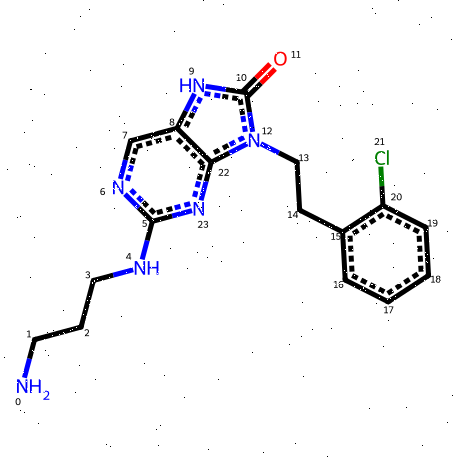 NCCCNc1ncc2[nH]c(=O)n(CCc3ccccc3Cl)c2n1